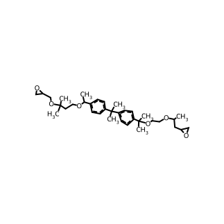 CC(CC1CO1)OCCOC(C)(C)c1ccc(C(C)(C)c2ccc(C(C)OCCC(C)(C)OCC3CO3)cc2)cc1